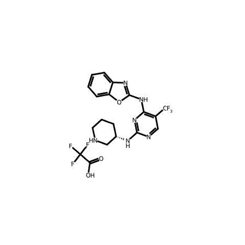 FC(F)(F)c1cnc(N[C@H]2CCCNC2)nc1Nc1nc2ccccc2o1.O=C(O)C(F)(F)F